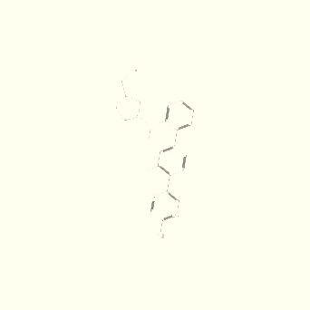 Nc1cnc(-c2ccc(-c3ccccc3[S+]([O-])N3CCC(CO)C3)cc2F)cn1